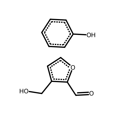 O=Cc1occc1CO.Oc1ccccc1